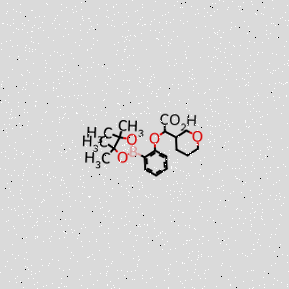 CC1(C)OB(c2ccccc2OC(C(=O)O)C2CCCOC2)OC1(C)C